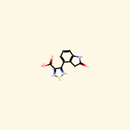 O=C1Cc2c(cccc2-c2nsnc2C(=O)O)N1